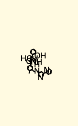 Cc1ccc(C(=O)N[C@@H](CO)[C@@H](O)c2ccccc2)cc1CNc1cncc(-c2ccccn2)c1